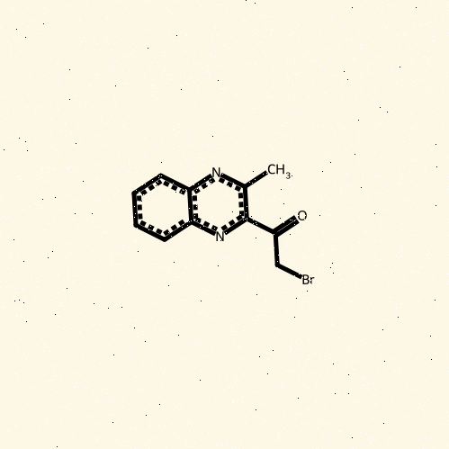 Cc1nc2ccccc2nc1C(=O)CBr